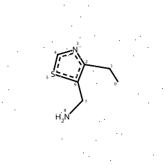 CCc1ncsc1CN